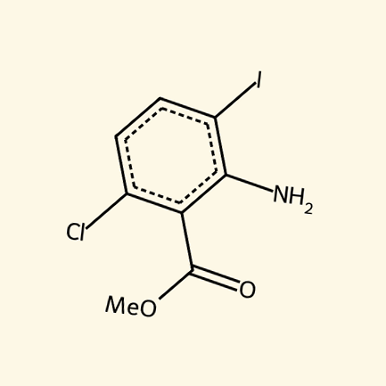 COC(=O)c1c(Cl)ccc(I)c1N